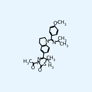 COc1ccc(C(=NC(C)C)N2CCCc3cc(C4=NN(C(C)=O)C(=O)SC4(C)C)ccc32)cc1